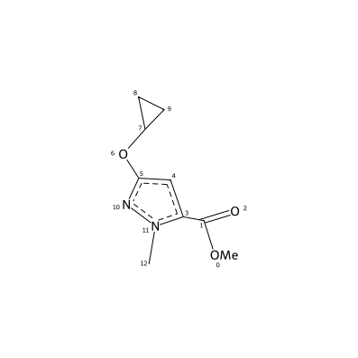 COC(=O)c1cc(OC2CC2)nn1C